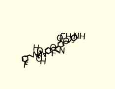 COc1cc2c(Oc3ccc(NC(=O)C(=O)NCCc4cccc(F)c4)cc3F)ccnc2cc1OCC1CCNCC1